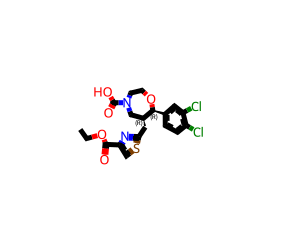 CCOC(=O)c1csc(C[C@@H]2CN(C(=O)O)CCO[C@H]2c2ccc(Cl)c(Cl)c2)n1